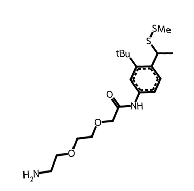 CSSC(C)c1ccc(NC(=O)COCCOCCN)cc1C(C)(C)C